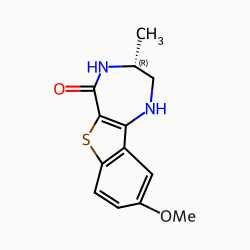 COc1ccc2sc3c(c2c1)NC[C@@H](C)NC3=O